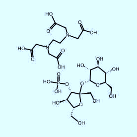 O=C(O)CN(CCN(CC(=O)O)CC(=O)O)CC(=O)O.O=P(O)(O)O[C@H]1[C@H](O)[C@@H](CO)O[C@@]1(CO)O[C@H]1O[C@H](CO)[C@@H](O)[C@H](O)[C@H]1O